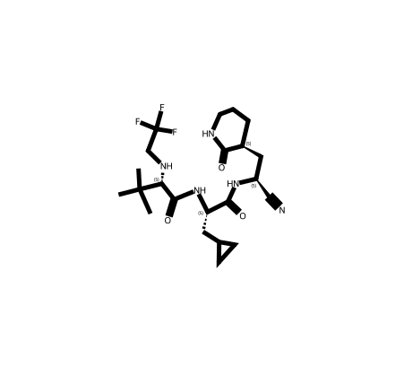 CC(C)(C)[C@H](NCC(F)(F)F)C(=O)N[C@@H](CC1CC1)C(=O)N[C@H](C#N)C[C@@H]1CCCNC1=O